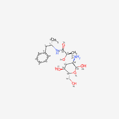 C[C@@H](Cc1ccccc1)NC(=O)[C@@H](C)O[C@H]1[C@H](O)[C@@H](CO)OC(O)[C@@H]1N